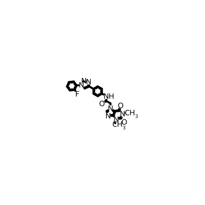 Cn1c(=O)c2c(ncn2CC(=O)Nc2ccc(-c3cn(-c4ccccc4F)nn3)cc2)n(C)c1=O